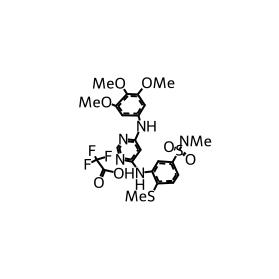 CNS(=O)(=O)c1ccc(SC)c(Nc2cc(Nc3cc(OC)c(OC)c(OC)c3)ncn2)c1.O=C(O)C(F)(F)F